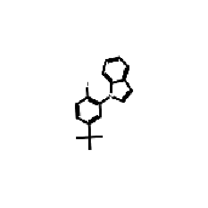 CC(C)(C)c1ccc(I)c(-n2ccc3ccccc32)c1